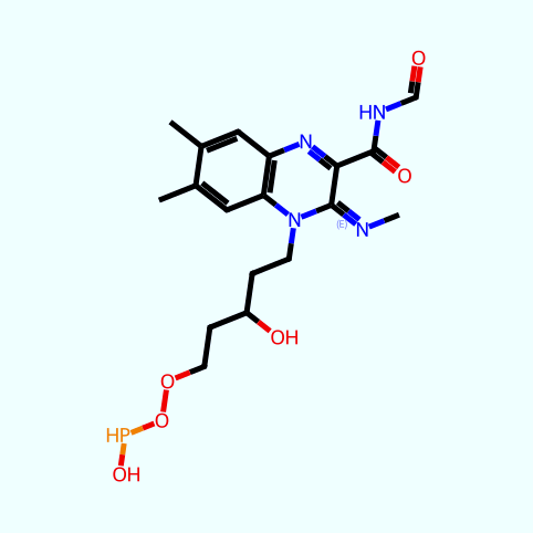 C/N=c1\c(C(=O)NC=O)nc2cc(C)c(C)cc2n1CCC(O)CCOOPO